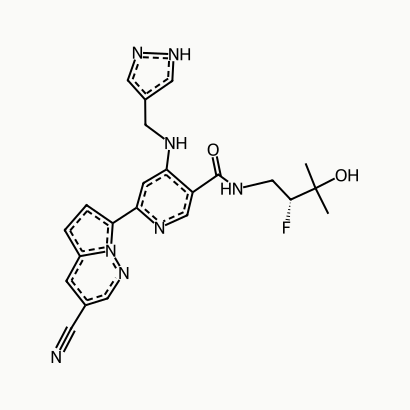 CC(C)(O)[C@H](F)CNC(=O)c1cnc(-c2ccc3cc(C#N)cnn23)cc1NCc1cn[nH]c1